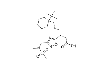 CN(Cc1noc([C@H](CCCC2(C(C)(C)C)CCCCC2)CC(=O)O)n1)S(C)(=O)=O